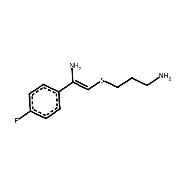 NCCCS/C=C(\N)c1ccc(F)cc1